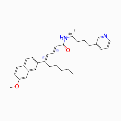 CCCCC/C(=C\C=C\C(=O)N[C@H](C)CCCc1cccnc1)c1ccc2ccc(OC)cc2c1